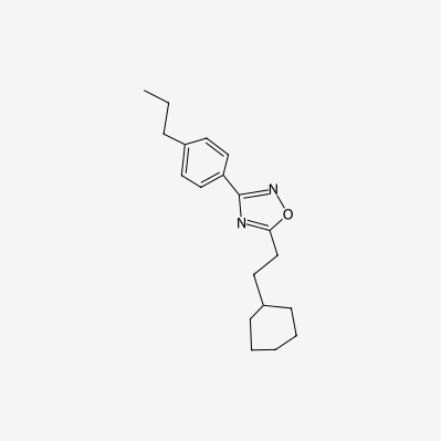 CCCc1ccc(-c2noc(CCC3CCCCC3)n2)cc1